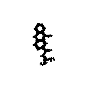 CC(C)N1c2ccccc2Oc2ccc(C(=O)N=C(N)N)cc21